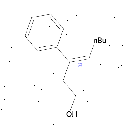 CCCC/C=C(/CCO)c1ccccc1